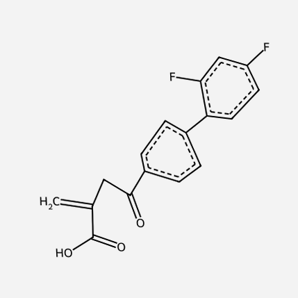 C=C(CC(=O)c1ccc(-c2ccc(F)cc2F)cc1)C(=O)O